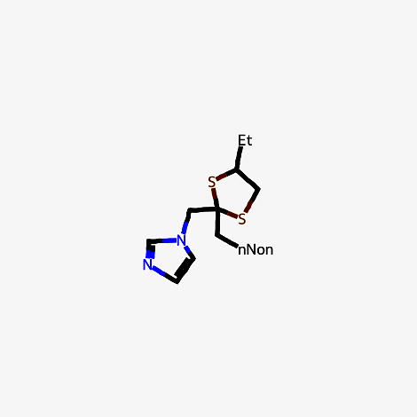 CCCCCCCCCCC1(Cn2ccnc2)SCC(CC)S1